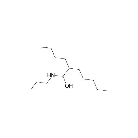 CCCCCC(CCCC)C(O)NCCC